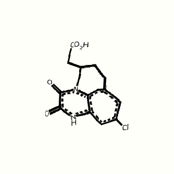 O=C(O)CC1CCc2cc(Cl)cc3[nH]c(=O)c(=O)n1c23